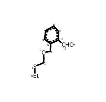 CCSCOCc1ccccc1[C]=O